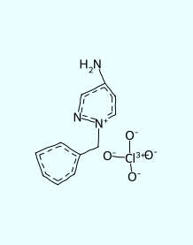 Nc1cc[n+](Cc2ccccc2)nc1.[O-][Cl+3]([O-])([O-])[O-]